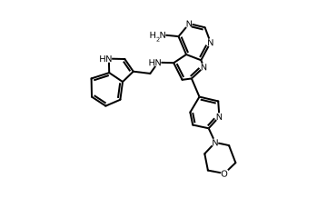 Nc1ncnc2nc(-c3ccc(N4CCOCC4)nc3)cc(NCc3c[nH]c4ccccc34)c12